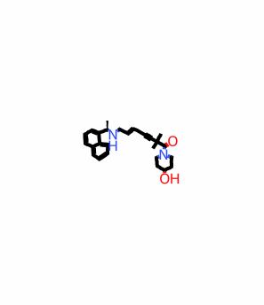 C[C@@H](NC/C=C/C#CC(C)(C)C(=O)N1CCC(O)CC1)c1cccc2ccccc12